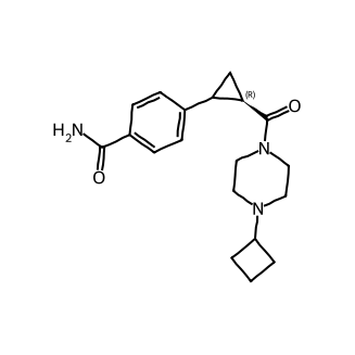 NC(=O)c1ccc(C2C[C@H]2C(=O)N2CCN(C3CCC3)CC2)cc1